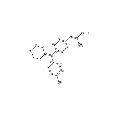 CC(=Cc1ccc(C(=C2CCOCC2)c2ccc(O)cc2)cc1)C(=O)O